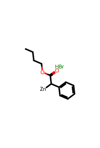 Br.CCCCOC(=O)[CH]([Zn])c1ccccc1